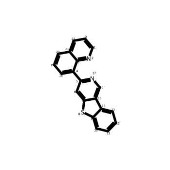 c1cnc2c(-c3cc4sc5ccccc5c4cn3)cccc2c1